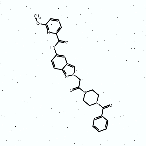 COc1cccc(C(=O)Nc2ccc3nn(CC(=O)N4CCN(C(=O)c5ccccc5)CC4)cc3c2)n1